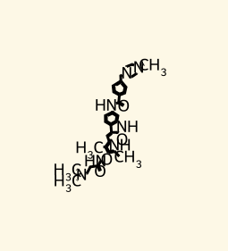 Cc1[nH]c(/C=C2\C(=O)Nc3cc(NC(=O)c4ccc(CN5CCN(C)CC5)cc4)ccc32)c(C)c1ONC(=O)CCN(C)C